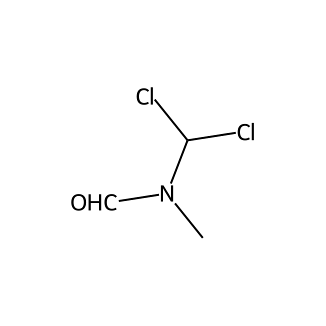 CN(C=O)C(Cl)Cl